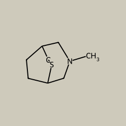 CN1CC2CCC(C1)SC2